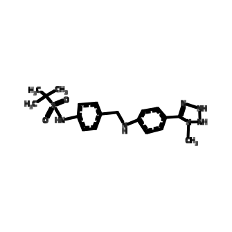 CN1NNN=C1c1ccc(NCc2ccc(NS(=O)(=O)C(C)(C)C)cc2)cc1